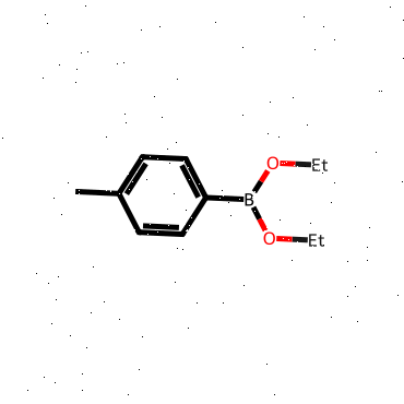 CCOB(OCC)c1ccc(C)cc1